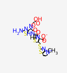 C[n+]1cccc2sc(SCC3=C(C(=O)[O-])N4C(=O)[C@H](NC(=O)/C(=N\OCC(=O)O)c5csc(N)n5)[C@@H]4SC3)nc21